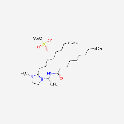 CCCCCCCCCCCCCCCCCC(=O)NC(C)[N+]1=C(CCCCCCCCCCCCCCCCC)N(C)CC1.COS(=O)(=O)[O-]